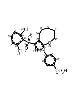 O=C(O)c1ccc(-n2nc(S(=O)(=O)c3c(Cl)cccc3Cl)c3c2OCCCCC3)cc1